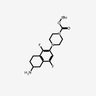 CC(C)(C)OC(=O)N1CCN(c2cc(F)c3c(c2F)CCC(N)C3)CC1